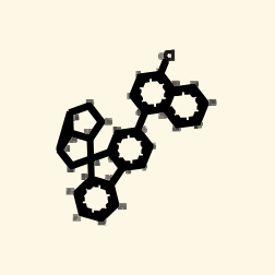 Clc1ccc(-c2ccc3c(c2)C2(CC4C5CCC2C54)c2ccccc2-3)c2ccccc12